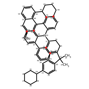 CC(C)(C)c1cc(-c2ccccc2N(C2=CC3=C(CC2)C(C)(C)c2ccc(C4CCCCC4)cc23)c2ccccc2C2=C=C=CC=C2)c2c(C3CCCCC3)cccc2c1